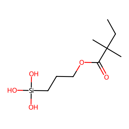 CCC(C)(C)C(=O)OCCC[Si](O)(O)O